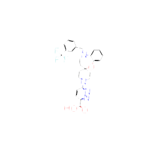 O=C(O)c1ccc(N2CCC3(CC2)CCN(Cc2cccc(C(F)(F)F)c2)c2ccccc2O3)nn1